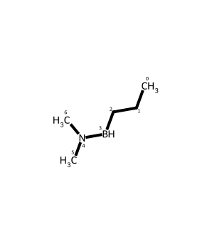 CCCBN(C)C